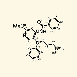 COc1cc(NC(=O)c2ccccc2)c(N(CCCN(C)C)c2ccccc2)cn1